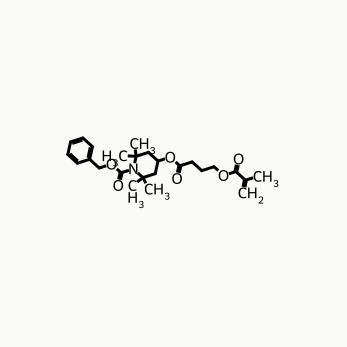 C=C(C)C(=O)OCCCC(=O)OC1CC(C)(C)N(C(=O)OCc2ccccc2)C(C)(C)C1